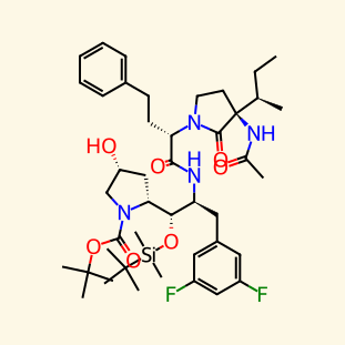 CC[C@@H](C)[C@@]1(NC(C)=O)CCN([C@@H](CCc2ccccc2)C(=O)N[C@@H](Cc2cc(F)cc(F)c2)[C@H](O[Si](C)(C)C(C)(C)C)[C@H]2C[C@@H](O)CN2C(=O)OC(C)(C)C)C1=O